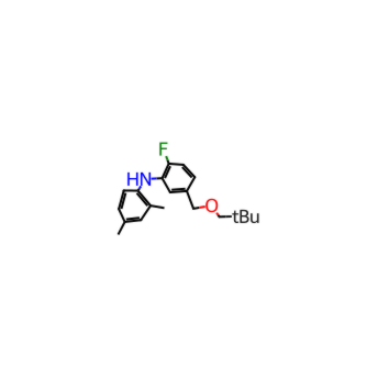 Cc1ccc(Nc2cc(COCC(C)(C)C)ccc2F)c(C)c1